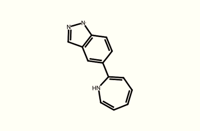 C1=CC=C(c2ccc3c(c2)C=N[N]3)NC=C1